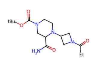 CCC(=O)N1CC(N2CCN(C(=O)OC(C)(C)C)CC2C(N)=O)C1